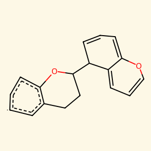 [c]1ccc2c(c1)CCC(C1C=CC=C3OC=CC=C31)O2